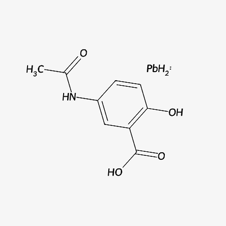 CC(=O)Nc1ccc(O)c(C(=O)O)c1.[PbH2]